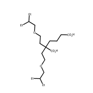 CCC(CC)COCCC(CCCC(=O)O)(CCOCC(CC)CC)C(=O)O